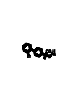 CC(=O)SC(C)(C(=O)O)c1ccc(-c2ccccc2Br)cc1